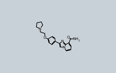 NC(=O)c1cccn2cc(-c3ccc(OCCN4CCCC4)cc3)nc12